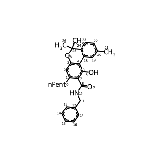 CCCCCc1cc2c(c(O)c1C(=O)NCc1ccccc1)-c1cc(C)ccc1C(C)(C)O2